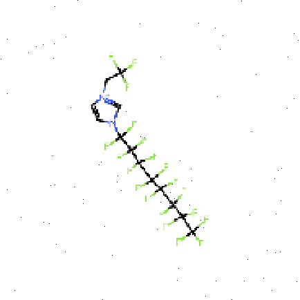 FC(F)(F)C[n+]1ccn(C(F)(F)C(F)(F)C(F)(F)C(F)(F)C(F)(F)C(F)(F)C(F)(F)C(F)(F)F)c1